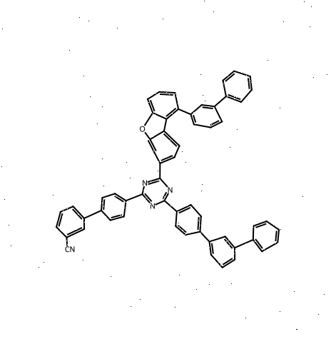 N#Cc1cccc(-c2ccc(-c3nc(-c4ccc(-c5cccc(-c6ccccc6)c5)cc4)nc(-c4ccc5c(c4)oc4cccc(-c6cccc(-c7ccccc7)c6)c45)n3)cc2)c1